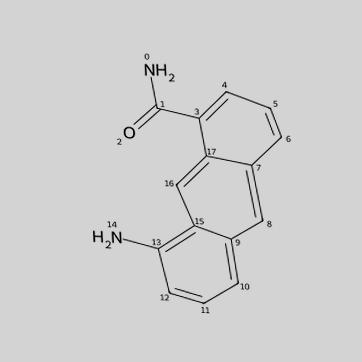 NC(=O)c1cccc2cc3cccc(N)c3cc12